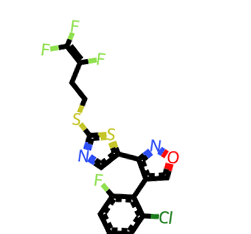 FC(F)=C(F)CCSc1ncc(-c2nocc2-c2c(F)cccc2Cl)s1